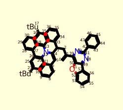 C=C(CC(/C(=C/c1ccccc1)N(c1ccc(C(C)(C)C)cc1)c1ccc(C(C)(C)C)cc1-c1ccccc1)c1ccccc1)c1nc(-c2ccccc2)nc2c1oc1ccccc12